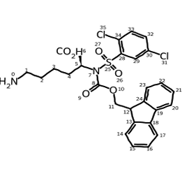 NCCCC[C@@H](C(=O)O)N(C(=O)OCC1c2ccccc2-c2ccccc21)S(=O)(=O)c1cc(Cl)ccc1Cl